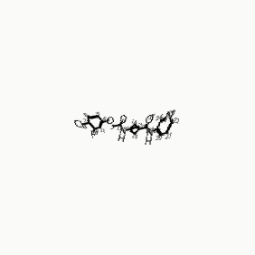 O=C(COc1ccc(Cl)c(F)c1)NC12CC(C(=O)Nc3cccnc3)(C1)C2